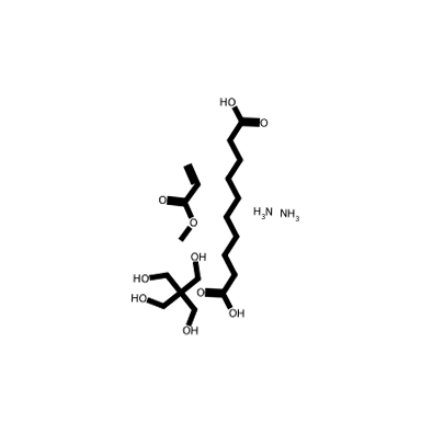 C=CC(=O)OC.N.N.O=C(O)CCCCCCCCC(=O)O.OCC(CO)(CO)CO